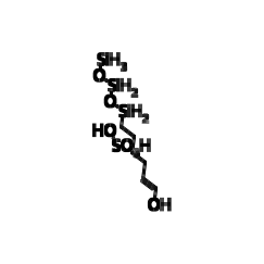 O=S(=O)(O)O.OC=CCCCC[SiH2]O[SiH2]O[SiH3]